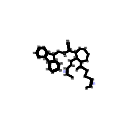 C/C=C\CCC(C)C1CCCCC(C(=O)OCC2c3ccccc3-c3ccccc32)C1CC/C=C\C